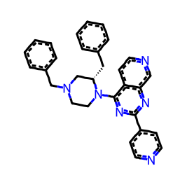 c1ccc(C[C@H]2CN(Cc3ccccc3)CCN2c2nc(-c3ccncc3)nc3cnccc23)cc1